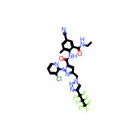 CCNC(=O)c1cc(C#N)cc(C)c1NC(=O)c1cc(Cn2cc(C(F)(F)C(F)(F)C(F)(F)F)nn2)nn1-c1ncccc1Cl